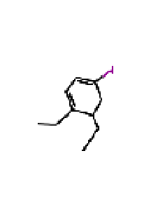 CCC1=CC=C(I)CC1CC